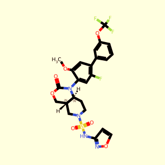 COc1cc(-c2cccc(OC(F)(F)F)c2)c(F)cc1N1C(=O)OC[C@H]2CN(S(=O)(=O)Nc3ccon3)CC[C@@H]21